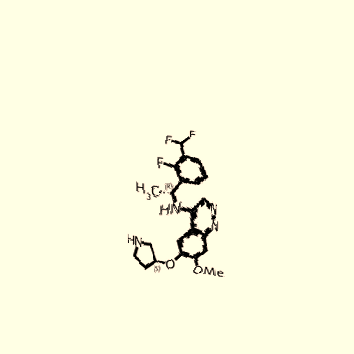 COc1cc2nncc(N[C@H](C)c3cccc(C(F)F)c3F)c2cc1O[C@H]1CCNC1